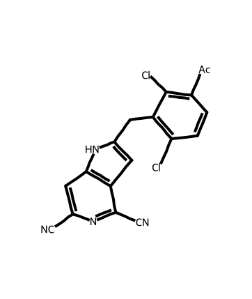 CC(=O)c1ccc(Cl)c(Cc2cc3c(C#N)nc(C#N)cc3[nH]2)c1Cl